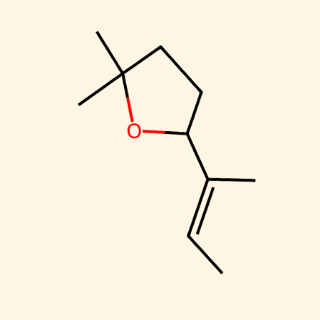 C/C=C(\C)C1CCC(C)(C)O1